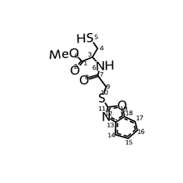 COC(=O)C(CS)NC(=O)CSc1nc2ccccc2o1